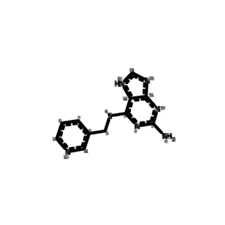 Nc1nc(SCc2cccnc2)c2[nH]cnc2n1